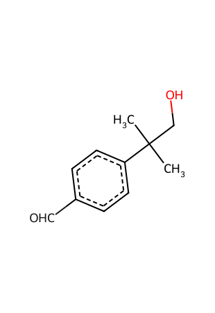 CC(C)(CO)c1ccc(C=O)cc1